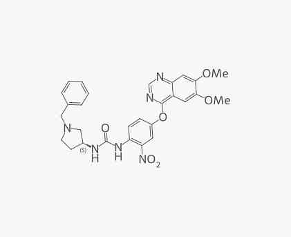 COc1cc2ncnc(Oc3ccc(NC(=O)N[C@H]4CCN(Cc5ccccc5)C4)c([N+](=O)[O-])c3)c2cc1OC